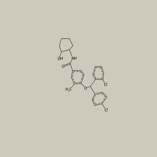 Cc1cc(C(=O)NC2CCCCC2O)ccc1OC(c1ccc(Cl)cc1)c1ccccc1Cl